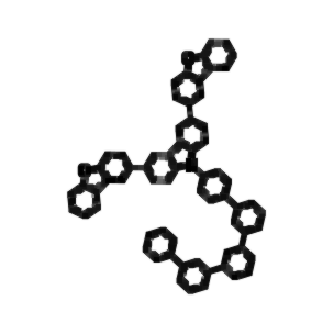 c1ccc(-c2cccc(-c3cccc(-c4cccc(-c5ccc(-n6c7ccc(-c8ccc9oc%10ccccc%10c9c8)cc7c7cc(-c8ccc9oc%10ccccc%10c9c8)ccc76)cc5)c4)c3)c2)cc1